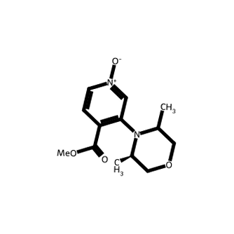 COC(=O)c1cc[n+]([O-])cc1N1C(C)COC[C@H]1C